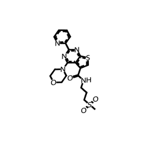 CS(=O)(=O)CCCNC(=O)c1csc2nc(-c3ccccn3)nc(N3CCOCC3)c12